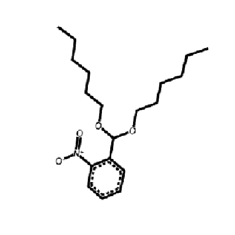 CCCCCCOC(OCCCCCC)c1ccccc1[N+](=O)[O-]